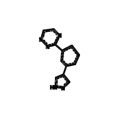 c1cc(-c2cn[nH]c2)cc(-c2nccnn2)c1